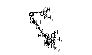 COc1ccc(CC[CH]c2cccc(OCC(=O)NCCOCCOCCNC(=O)C[C@@H]3N=C(c4ccc(Cl)cc4)c4c(sc(C)c4C)-n4c(C)nnc43)c2)cc1OC